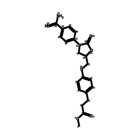 COC(=O)CCc1ccc(OCC2CN(c3ccc(C(=N)N)cc3)C(=O)O2)cc1